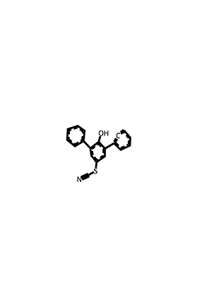 N#CSc1cc(-c2ccccc2)c(O)c(-c2ccccc2)c1